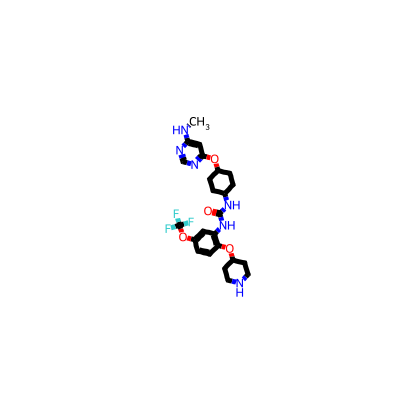 CNc1cc(OC2CCC(NC(=O)Nc3cc(OC(F)(F)F)ccc3OC3CCNCC3)CC2)ncn1